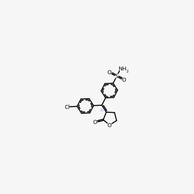 NS(=O)(=O)c1ccc(/C(=C2\CCOC2=O)c2ccc(Cl)cc2)cc1